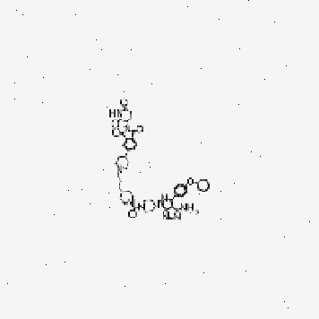 Nc1ncnc2c1c(-c1ccc(Oc3ccccc3)cc1)nn2C1CCN(C(=O)N2CCC(CCCN3CCC(c4ccc5c(c4)C(=O)N(C4CCC(=O)NC4=O)C5=O)CC3)CC2)CC1